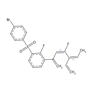 C=CC(=C/C)/C(F)=C\C(=C)c1cccc(S(=O)(=O)c2ccc(Br)cc2)c1F